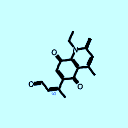 C=C1C=C(C)C2=C(C(=O)C=C(/C(C)=C\C=O)C2=O)N1CC